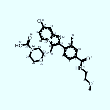 COCCNC(=O)c1ccc(-c2nc3cc(Cl)ccn3c2C[C@H]2CN(C(=O)O)CCO2)c(F)c1